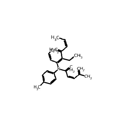 C=C(C)/C=C\C(=C)N(C(/C=C\C)=C(\CC)C(=C)/C=C\C)c1ccc(C)cc1